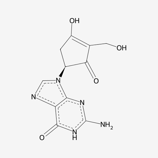 Nc1nc2c(ncn2[C@H]2CC(O)=C(CO)C2=O)c(=O)[nH]1